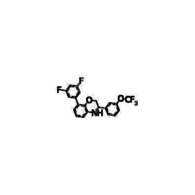 Fc1cc(F)cc(-c2cccc3c2OCC(c2cccc(OC(F)(F)F)c2)N3)c1